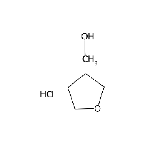 C1CCOC1.CO.Cl